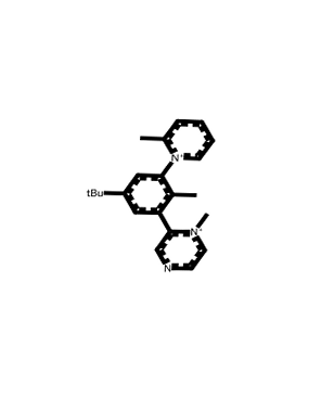 Cc1c(-c2cncc[n+]2C)cc(C(C)(C)C)cc1-[n+]1ccccc1C